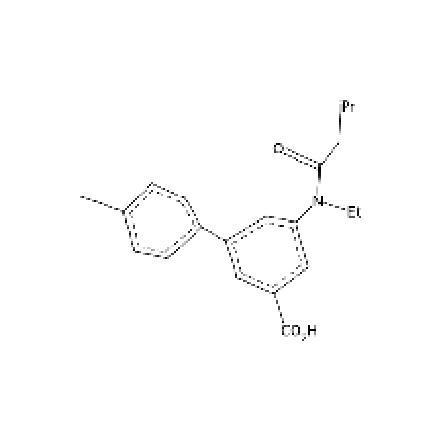 CCN(C(=O)CC(C)C)c1cc(C(=O)O)cc(-c2ccc(C)cc2)c1